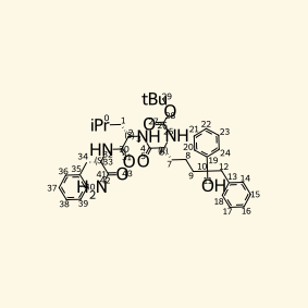 CC(C)C[C@H](NC(=O)[C@@H](CCCC(O)(Cc1ccccc1)c1ccccc1)NC(=O)OC(C)(C)C)C(=O)N[C@@H](Cc1ccccc1)C(N)=O